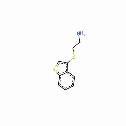 NCCSc1csc2ccccc12